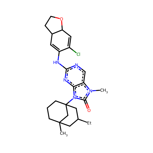 CCC1CC2(C)CCCC(n3c(=O)n(C)c4cnc(NC5=CC6CCOC6C=C5Cl)nc43)(C1)C2